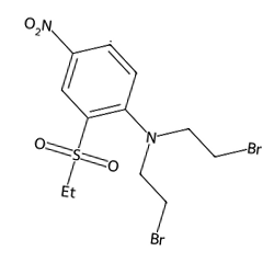 CCS(=O)(=O)c1cc([N+](=O)[O-])[c]cc1N(CCBr)CCBr